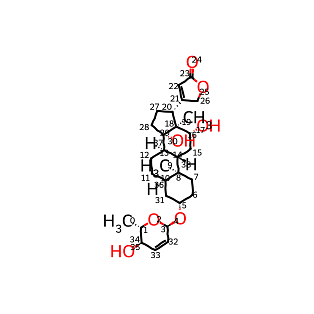 C[C@@H]1O[C@@H](O[C@H]2CC[C@@]3(C)[C@H](CC[C@@H]4[C@@H]3C[C@@H](O)[C@]3(C)[C@@H](C5=CC(=O)OC5)CC[C@]43O)C2)C=C[C@H]1O